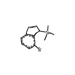 C[Si](C)(C)C1C=Cc2cccc(Br)c21